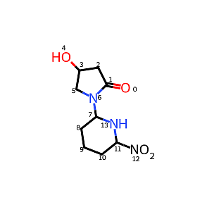 O=C1CC(O)CN1C1CCCC([N+](=O)[O-])N1